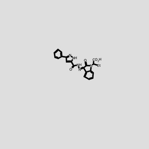 CCC(C(=O)O)N1C(=O)/C(=N\NC(=O)c2cc(-c3ccccc3)n[nH]2)c2ccccc21